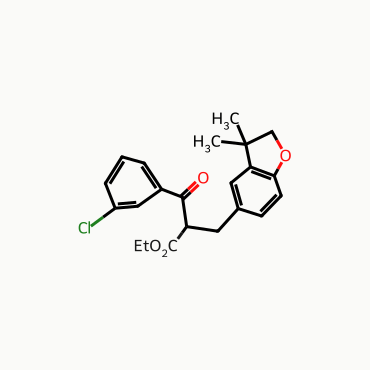 CCOC(=O)C(Cc1ccc2c(c1)C(C)(C)CO2)C(=O)c1cccc(Cl)c1